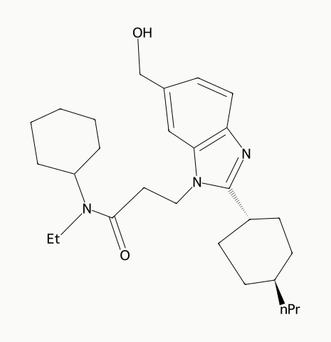 CCC[C@H]1CC[C@H](c2nc3ccc(CO)cc3n2CCC(=O)N(CC)C2CCCCC2)CC1